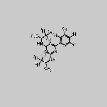 [2H]c1c(Cl)nc(-c2nc(NC(C([2H])([2H])[2H])C(F)(F)F)nc(NC(C([2H])([2H])[2H])C(F)(F)F)n2)c([2H])c1[2H]